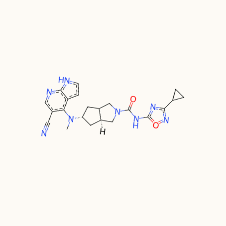 CN(c1c(C#N)cnc2[nH]ccc12)[C@@H]1CC2CN(C(=O)Nc3nc(C4CC4)no3)C[C@H]2C1